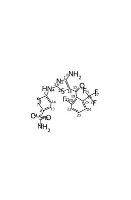 Nc1nc(Nc2ccc(S(N)(=O)=O)cc2)sc1C(=O)c1c(F)cccc1C(F)(F)F